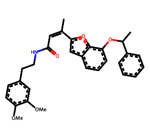 COc1ccc(CCNC(=O)/C=C(/C)c2cc3cccc(OC(C)c4ccccc4)c3o2)cc1OC